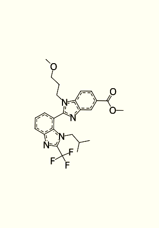 COCCCn1c(-c2cccc3nc(C(F)(F)F)n(CC(C)C)c23)nc2cc(C(=O)OC)ccc21